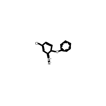 [N-]=[N+]=C1C=C(Cl)C=CC1Oc1ccccc1